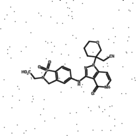 N#CCC1(n2nc(Nc3ccc4c(c3)CN(CC(=O)O)S4(=O)=O)c3c(=O)[nH]ccc32)CCCOC1